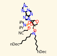 CCCCCCCCCCCCCCCCN(CCCCCCCCCCCCCCCC)OC[C@]12COC(C1OP(OCCC#N)N(C(C)C)C(C)C)[C@H](n1cnc3c(/N=C\N(C)C)ncnc31)O2